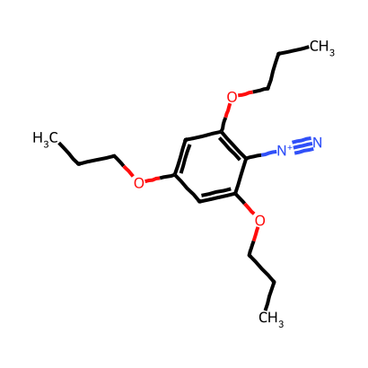 CCCOc1cc(OCCC)c([N+]#N)c(OCCC)c1